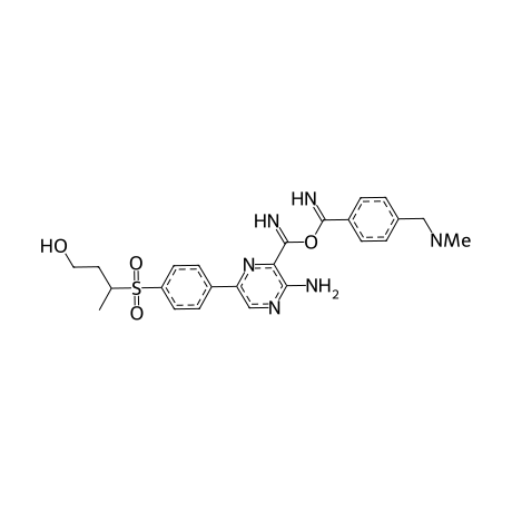 CNCc1ccc(C(=N)OC(=N)c2nc(-c3ccc(S(=O)(=O)C(C)CCO)cc3)cnc2N)cc1